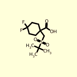 CC(C)(C)S(=O)(=O)CC1(C(=O)O)CCC(F)(F)CC1